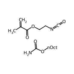 C=C(C)C(=O)OCCN=C=O.CCCCCCCCOC(N)=O